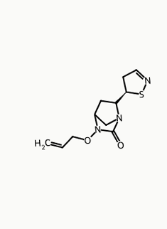 C=CCON1C(=O)N2CC1CC2[C@H]1CC=NS1